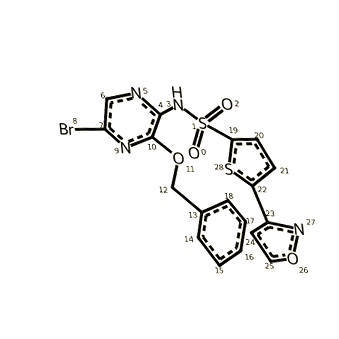 O=S(=O)(Nc1ncc(Br)nc1OCc1ccccc1)c1ccc(-c2ccon2)s1